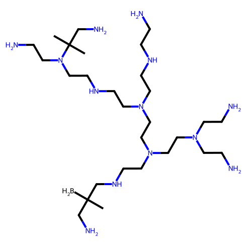 BC(C)(CN)CNCCN(CCN(CCN)CCN)CCN(CCNCCN)CCNCCN(CCN)C(C)(C)CN